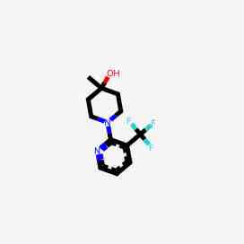 CC1(O)CCN(c2ncccc2C(F)(F)F)CC1